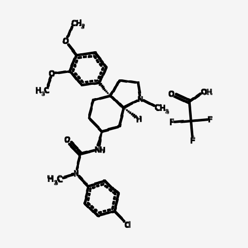 COc1ccc([C@@]23CC[C@H](NC(=O)N(C)c4ccc(Cl)cc4)C[C@@H]2N(C)CC3)cc1OC.O=C(O)C(F)(F)F